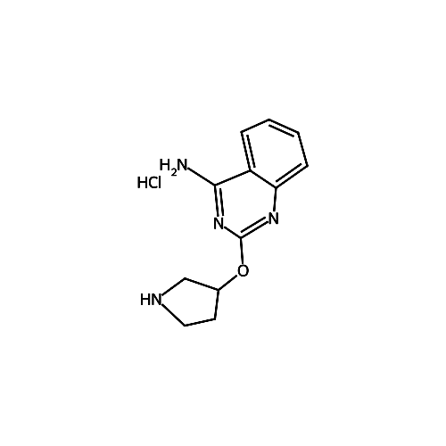 Cl.Nc1nc(OC2CCNC2)nc2ccccc12